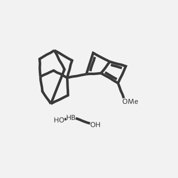 COc1cc2cc(C34CC5CC(CC(C5)C3)C4)c1-2.OBO